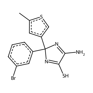 Cc1cc(C2(c3cccc(Br)c3)N=C(N)C(S)=N2)cs1